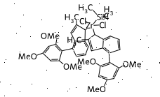 COc1cc(OC)c(-c2cccc3c2C=C(C)[CH]3[Zr]([Cl])([Cl])([CH]2C(C)=Cc3c(-c4c(OC)cc(OC)cc4OC)cccc32)[SiH](C)C)c(OC)c1